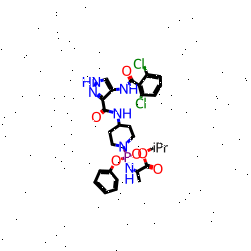 CC(C)OC(=O)C(C)NP(=O)(Oc1ccccc1)N1CCC(NC(=O)c2n[nH]cc2NC(=O)c2c(Cl)cccc2Cl)CC1